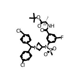 C[C@H](NC(=O)c1cc(F)cc(N(C2CN(C(c3ccc(Cl)cc3)c3ccc(Cl)cc3)C2)S(C)(=O)=O)c1)C(=O)OC(C)(C)C